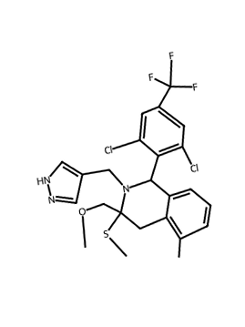 COCC1(SC)Cc2c(C)cccc2C(c2c(Cl)cc(C(F)(F)F)cc2Cl)N1Cc1cn[nH]c1